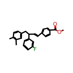 COC(=O)c1ccc(C=CC(Cc2ccc(C)c(C)c2)c2cccc(F)c2)cc1